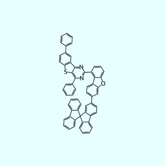 c1ccc(-c2ccc3sc4c(-c5ccccc5)nc(-c5cccc6oc7cc(-c8ccc9c(c8)C8(c%10ccccc%10-c%10ccccc%108)c8ccccc8-9)ccc7c56)nc4c3c2)cc1